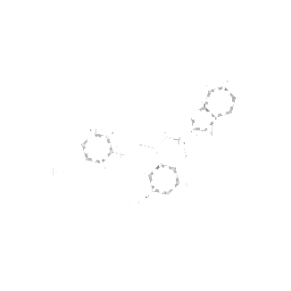 O=C(O)c1cncc(OCCCN(Cc2ccc(C(F)(F)F)cc2)c2nc3ccccc3s2)c1